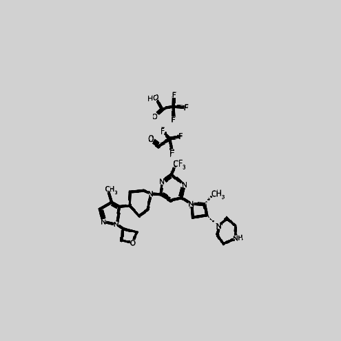 Cc1cnn(C2COC2)c1C1CCN(c2cc(N3C[C@@H](N4CCNCC4)[C@H]3C)nc(C(F)(F)F)n2)CC1.O=C(O)C(F)(F)F.O=CC(F)(F)F